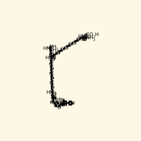 CC(C)(C)c1cc(-c2ccc(F)cc2)nn2cc(C(=O)N3CCN(C(=O)c4cn(CC(=O)NCCOCCOCCOCCOCCOCCOCCC(=O)N[C@@H](CCCNC(=N)N)C(=O)NCCOCCOCCOCCOCCOCCOCCC(=O)N[C@@H](CC(=O)O)C(N)=O)nn4)CC3(C)C)nc12